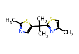 Cc1csc(C(C)(C)c2cnc(C)s2)n1